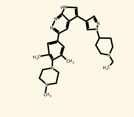 CCN1CCC(n2cc(-c3c[nH]c4nnc(-c5cc(C)c(N6CCN(C)CC6)c(C)c5)cc34)cn2)CC1